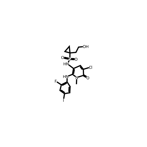 Cn1c(Nc2ccc(I)cc2F)c(NS(=O)(=O)C2(CCO)CC2)cc(Cl)c1=O